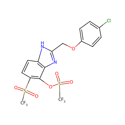 O=S(=O)(Oc1c(S(=O)(=O)C(F)(F)F)ccc2[nH]c(COc3ccc(Cl)cc3)nc12)C(F)(F)F